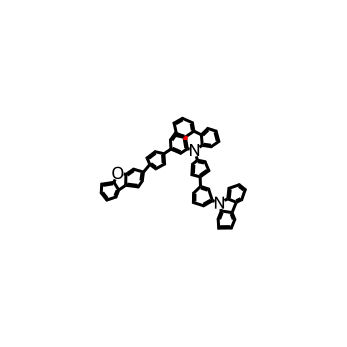 c1ccc(-c2ccccc2N(c2ccc(-c3cccc(-n4c5ccccc5c5ccccc54)c3)cc2)c2cccc(-c3ccc(-c4ccc5c(c4)oc4ccccc45)cc3)c2)cc1